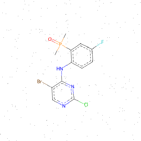 CP(C)(=O)c1cc(F)ccc1Nc1nc(Cl)ncc1Br